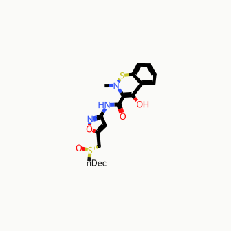 CCCCCCCCCC[S+]([O-])Cc1cc(NC(=O)C2=C(O)c3ccccc3SN2C)no1